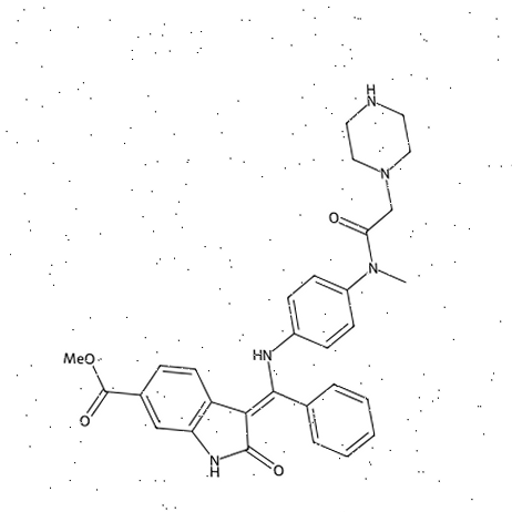 COC(=O)c1ccc2c(c1)NC(=O)C2=C(Nc1ccc(N(C)C(=O)CN2CCNCC2)cc1)c1ccccc1